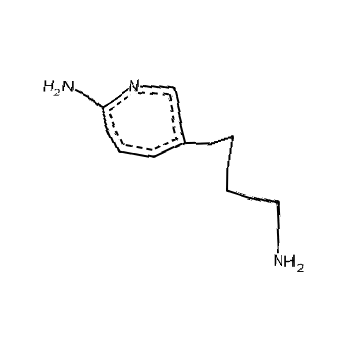 NCCCc1ccc(N)nc1